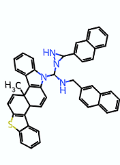 CC12C=Cc3sc4ccccc4c3C1C=Cc1c2c2ccccc2n1[C@H](NCc1ccc2ccccc2c1)N1NC1c1ccc2ccccc2c1